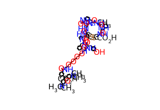 C[C@@H]1NC(=O)[C@H](Cc2ccccc2)NC(=O)[C@H](CCC(N)=O)NC(=O)[C@H](NC(=O)[C@@H]2CCCN2C(=O)[C@H](Cc2ccccc2)NC(=O)[C@H](Cc2ccc(O)cc2)NC(=O)CCOCCOCCOCCOCCNC(=O)c2ccc(C(=O)O)c(-c3c4ccc(=[N+](C)C)cc-4oc4cc(N(C)C)ccc34)c2)CCSSC[C@@H](C(=O)O)NC(=O)[C@H](Cc2ccccc2)NC1=O